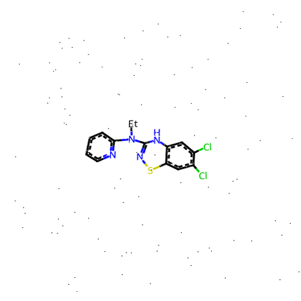 CCN(C1=NSc2cc(Cl)c(Cl)cc2N1)c1ccccn1